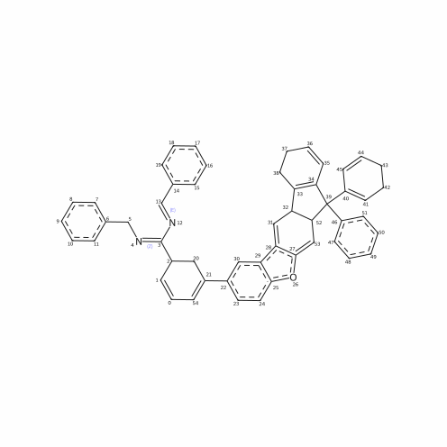 C1=CC(C(=N/Cc2ccccc2)/N=C/c2ccccc2)CC(c2ccc3oc4c(c3c2)=CC2C3=C(C=CCC3)C(C3=CCCC=C3)(c3ccccc3)C2C=4)=C1